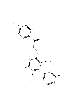 N#Cc1ccc(C(=O)CSc2nc(N)c(C#N)c(-c3cccc(Cl)c3)c2C#N)cc1